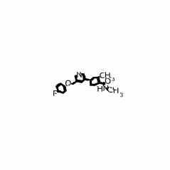 CNC(=O)c1ccc(-c2cncc(COc3ccc(F)cc3)c2)cc1C